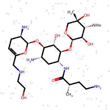 CN[C@@H]1[C@@H](O)[C@@H](O[C@@H]2[C@@H](O)[C@H](O[C@H]3OC(CNCCO)=CC[C@H]3N)[C@@H](N)C[C@H]2NC(=O)[C@@H](C)CCN)OC[C@]1(C)O